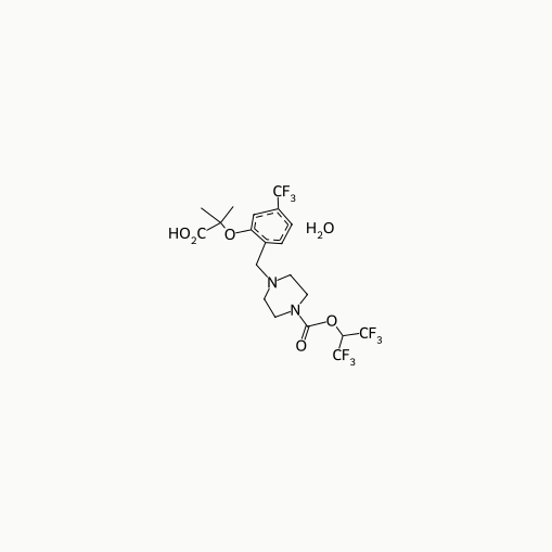 CC(C)(Oc1cc(C(F)(F)F)ccc1CN1CCN(C(=O)OC(C(F)(F)F)C(F)(F)F)CC1)C(=O)O.O